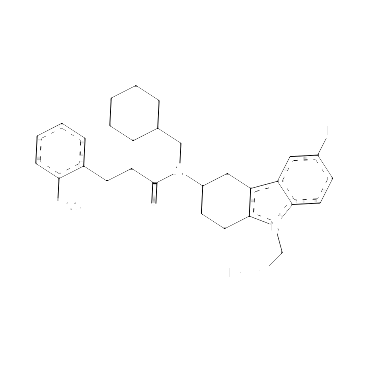 COc1ccccc1CCC(=O)N(CC1CCCCC1)C1CCc2c(c3cc(F)ccc3n2CC(=O)O)C1